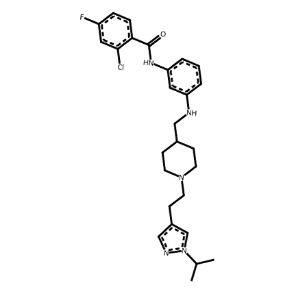 CC(C)n1cc(CCN2CCC(CNc3cccc(NC(=O)c4ccc(F)cc4Cl)c3)CC2)cn1